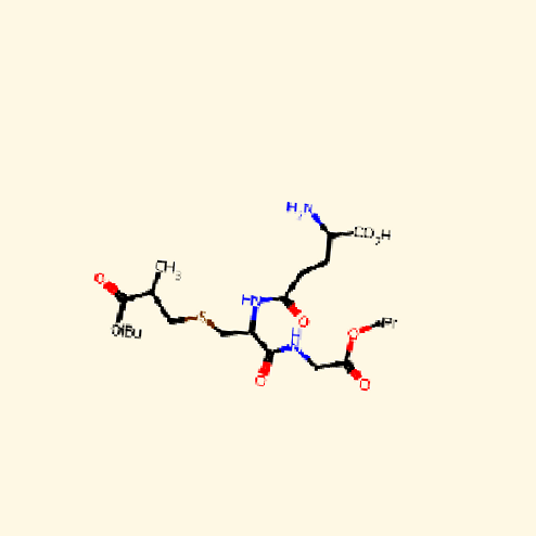 CC(C)COC(=O)C(C)CSCC(NC(=O)CCC(N)C(=O)O)C(=O)NCC(=O)OC(C)C